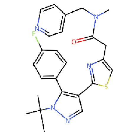 CN(Cc1ccncc1)C(=O)Cc1csc(-c2cnn(C(C)(C)C)c2-c2ccc(F)cc2)n1